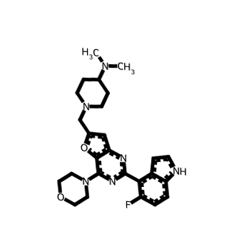 CN(C)C1CCN(Cc2cc3nc(-c4c(F)ccc5[nH]ccc45)nc(N4CCOCC4)c3o2)CC1